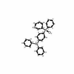 O=P(c1ccccc1)(c1ccc(N(c2ccccc2)c2ccccc2)cc1)c1cccnc1